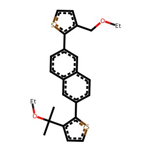 CCOCc1ccsc1-c1ccc2cc(-c3sccc3C(C)(C)OCC)ccc2c1